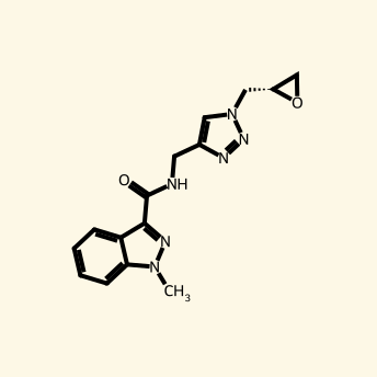 Cn1nc(C(=O)NCc2cn(C[C@@H]3CO3)nn2)c2ccccc21